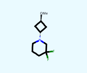 CO[C@H]1C[C@H](N2CCCC(F)(F)C2)C1